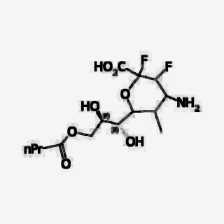 CCCC(=O)OC[C@@H](O)[C@@H](O)C1OC(F)(C(=O)O)C(F)C(N)C1C